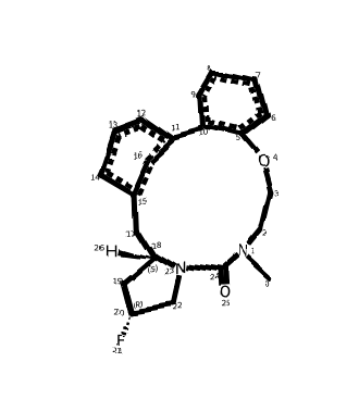 CN1CCOc2ccccc2-c2cccc(c2)C[C@H]2C[C@@H](F)CN2C1=O